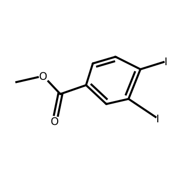 COC(=O)c1ccc(I)c(I)c1